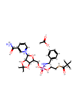 CC(=O)[O-].CC1(C)OC2C(COP(=O)(NCc3ccccc3)OCCSC(=O)C(C)(C)C)OC([n+]3cccc(C(N)=O)c3)C2O1